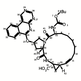 CC(C)(C)OC(=O)N[C@H]1CCCCCC=C[C@@H]2C[C@@]2(C(=O)O)NC(=O)[C@@H]2C[C@@H](Oc3nc4ncncc4c4ccccc34)CN2C1=O